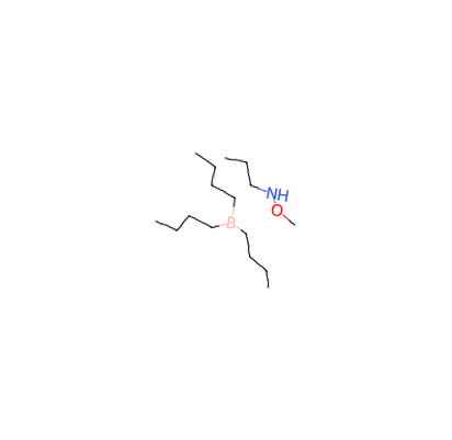 CCCCB(CCCC)CCCC.CCCNOC